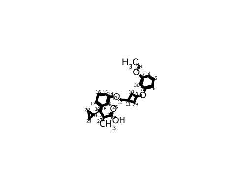 CCOc1cccc(OC2CC(COc3cccc([C@H](C4CC4)[C@H](C)C(=O)O)c3)C2)c1